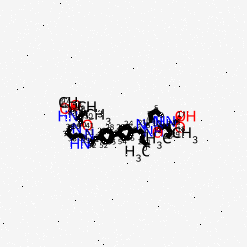 CCCc1[nH]c([C@@H]2CCCN2C(=O)[C@@H](NC(=O)O)C(C)C)nc1-c1ccc(-c2ccc(-c3c[nH]c(C4CCCN4C(=O)[C@@H](NC(=O)OC)C(C)C)n3)cc2)cc1